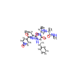 CCNC(=O)[C@H](CC)NC[C@H](CC(C)C)NC(=O)[C@H](CCc1ccccc1)NC(=O)[C@H](CC(C)C)NC(=O)c1cc[n+]([O-])cc1